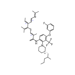 C=C(Nc1ccc(Oc2cccc(F)c2)c(C(F)(F)F)c1N1CCC[C@@H](CC(C)CCC)C1)/C(C)=C/SC(=C(C)C)C(/C=C/N=C(C)C)=C/C